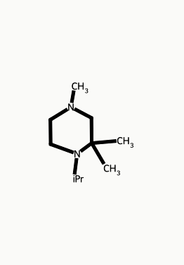 CC(C)N1CCN(C)CC1(C)C